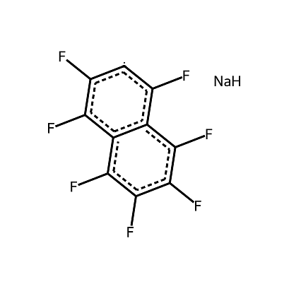 Fc1[c]c(F)c2c(F)c(F)c(F)c(F)c2c1F.[NaH]